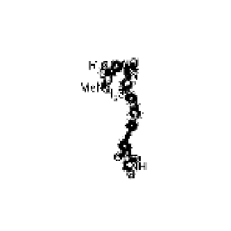 CNC(=O)COc1cc2cc(Nc3nc(N4CCC(N(C)C5CCN(CC6CCN(c7ccc(C#Cc8ccc9c(c8)CN(C8CCC(=O)NC8=O)C9=O)cc7)CC6)CC5)CC4)ncc3Cl)ccc2n(C)c1=O